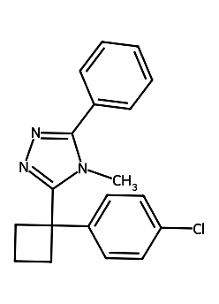 Cn1c(-c2ccccc2)nnc1C1(c2ccc(Cl)cc2)CCC1